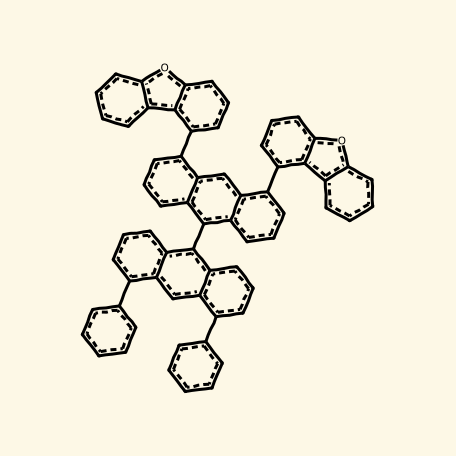 c1ccc(-c2cccc3c(-c4c5cccc(-c6cccc7oc8ccccc8c67)c5cc5c(-c6cccc7oc8ccccc8c67)cccc45)c4cccc(-c5ccccc5)c4cc23)cc1